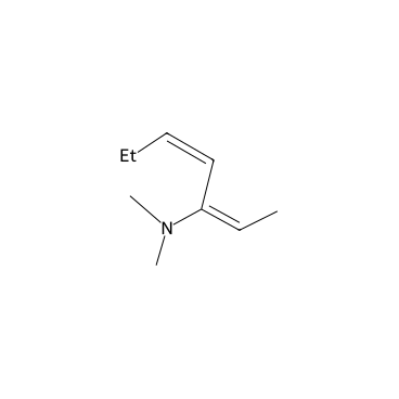 C/C=C(\C=C/CC)N(C)C